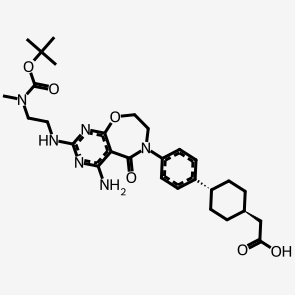 CN(CCNc1nc(N)c2c(n1)OCCN(c1ccc([C@H]3CC[C@H](CC(=O)O)CC3)cc1)C2=O)C(=O)OC(C)(C)C